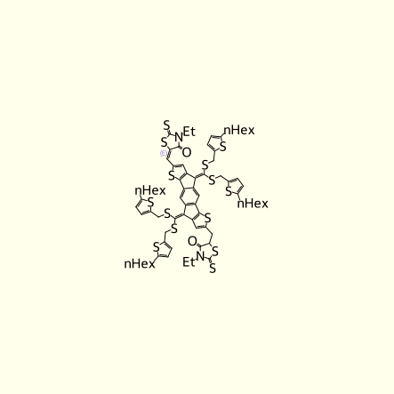 CCCCCCc1ccc(CSC(SCc2ccc(CCCCCC)s2)=C2c3cc4c(cc3-c3sc(/C=C5/SC(=S)N(CC)C5=O)cc32)C(=C(SCc2ccc(CCCCCC)s2)SCc2ccc(CCCCCC)s2)c2cc(CC3SC(=S)N(CC)C3=O)sc2-4)s1